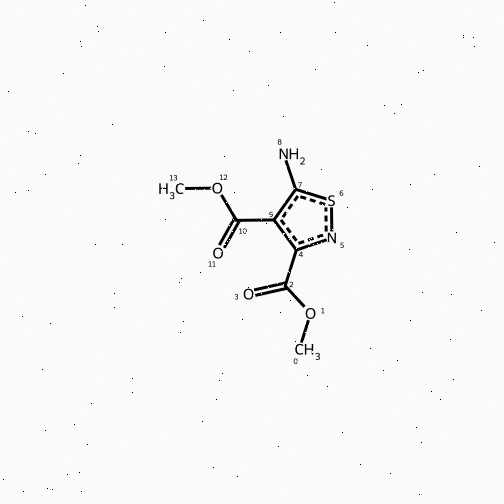 COC(=O)c1nsc(N)c1C(=O)OC